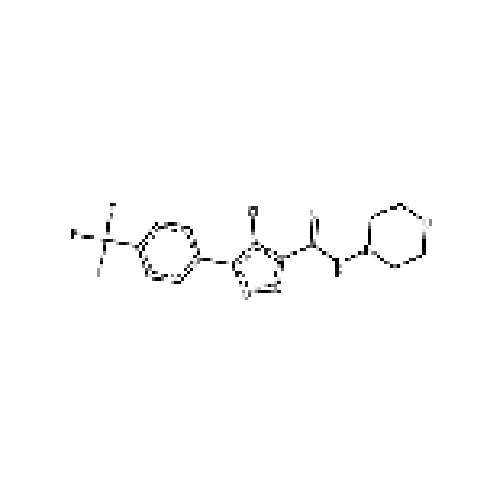 O=C(NN1CCOCC1)c1noc(-c2ccc(C(F)(F)F)cc2)c1Cl